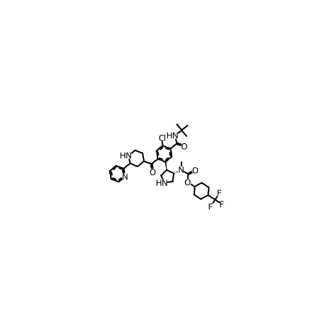 CN(C(=O)OC1CCC(C(F)(F)F)CC1)[C@@H]1CNC[C@H]1c1cc(C(=O)NC(C)(C)C)c(Cl)cc1C(=O)C1CCNC(c2ccccn2)C1